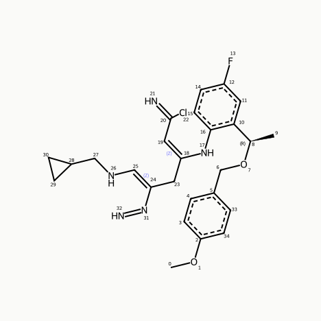 COc1ccc(CO[C@H](C)c2cc(F)ccc2N/C(=C\C(=N)Cl)C/C(=C/NCC2CC2)N=N)cc1